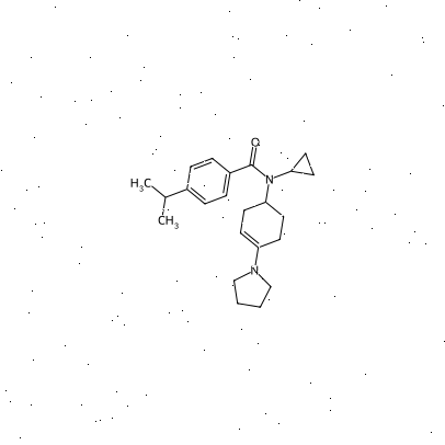 CC(C)c1ccc(C(=O)N(C2CC=C(N3CCCC3)CC2)C2CC2)cc1